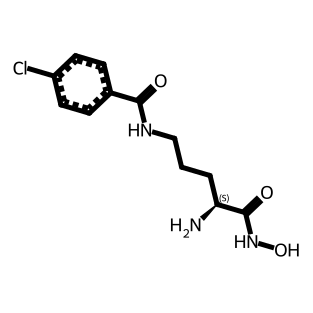 N[C@@H](CCCNC(=O)c1ccc(Cl)cc1)C(=O)NO